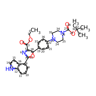 CCOC(=O)c1nc(-c2cccc3[nH]ccc23)oc1-c1ccc(N2CCN(C(=O)OC(C)(C)C)CC2)cc1